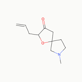 C=CCC1OC2(CCN(C)C2)CC1=O